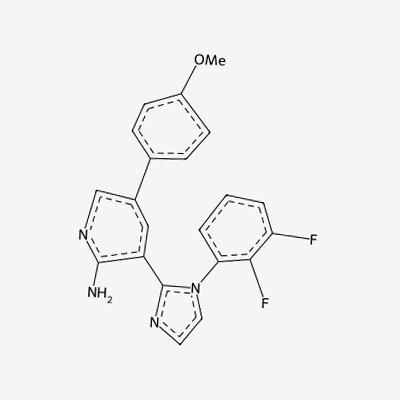 COc1ccc(-c2cnc(N)c(-c3nccn3-c3cccc(F)c3F)c2)cc1